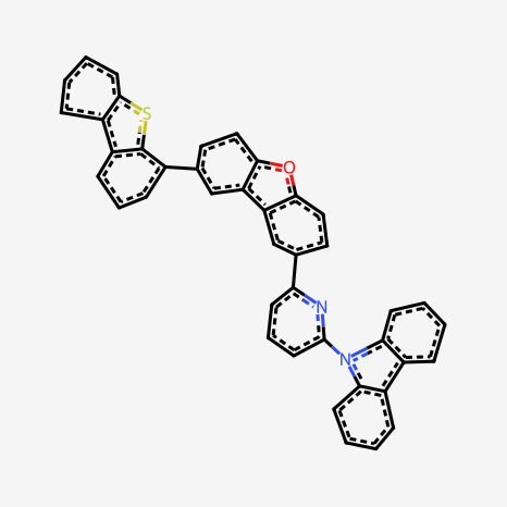 c1cc(-c2ccc3oc4ccc(-c5cccc6c5sc5ccccc56)cc4c3c2)nc(-n2c3ccccc3c3ccccc32)c1